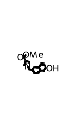 COC(=O)C1CN(Cc2ccc3cc(O)ccc3c2)C1